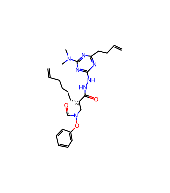 C=CCCCC[C@@H](CN(C=O)Oc1ccccc1)C(=O)NNc1nc(CCC=C)nc(N(C)C)n1